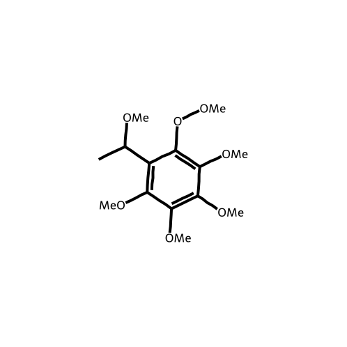 COOc1c(OC)c(OC)c(OC)c(OC)c1C(C)OC